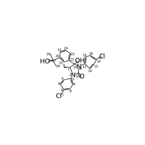 C[C@@H]1N(c2ccc(Cl)cc2)C(=O)N(c2ccc(Cl)cc2)C1(O)c1cccc(C(C)(C)O)c1